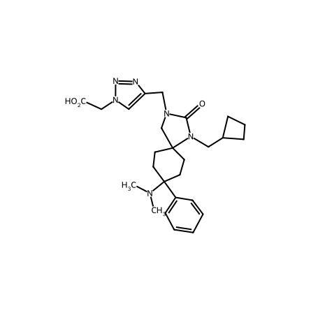 CN(C)C1(c2ccccc2)CCC2(CC1)CN(Cc1cn(CC(=O)O)nn1)C(=O)N2CC1CCC1